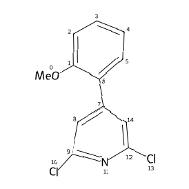 COc1ccccc1-c1cc(Cl)nc(Cl)c1